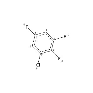 Fc1[c]c(F)c(F)c(Cl)[c]1